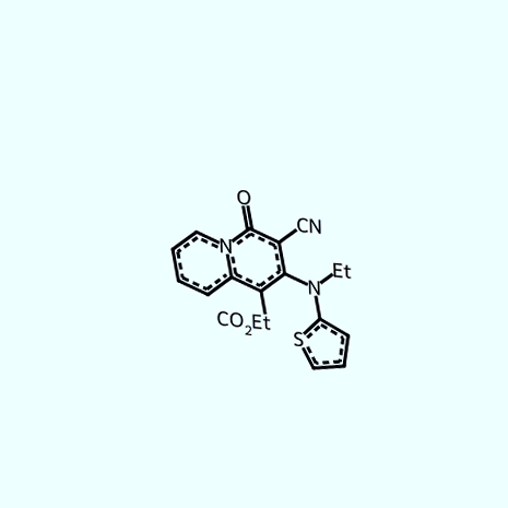 CCOC(=O)c1c(N(CC)c2cccs2)c(C#N)c(=O)n2ccccc12